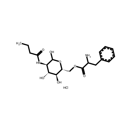 CCCC(=O)N[C@H]1C(O)O[C@H](COC(=O)C(N)Cc2ccccc2)[C@@H](O)[C@@H]1O.Cl